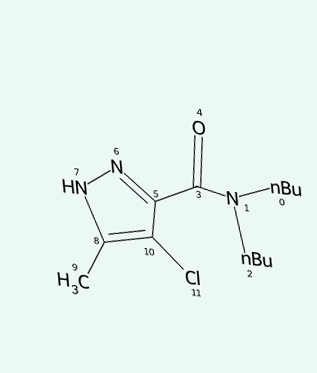 CCCCN(CCCC)C(=O)c1n[nH]c(C)c1Cl